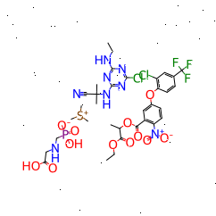 CCNc1nc(Cl)nc(NC(C)(C)C#N)n1.CCOC(=O)C(C)OC(=O)c1cc(Oc2ccc(C(F)(F)F)cc2Cl)ccc1[N+](=O)[O-].C[S+](C)C.O=C(O)CNCP(=O)([O-])O